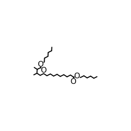 CCCCCCOC(=O)CCCCCCCCCCC(C)C(C)C(=O)OCCCCCC